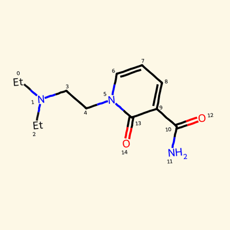 CCN(CC)CCn1cccc(C(N)=O)c1=O